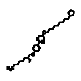 CCCCCC[C@@H](F)COc1ccc(-c2ncc(OCCCCCCCCCC3CCCC3)cn2)cc1